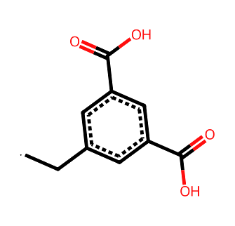 [CH2]Cc1cc(C(=O)O)cc(C(=O)O)c1